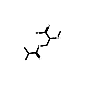 CNC(COC(=O)C(C)C)C(=O)O